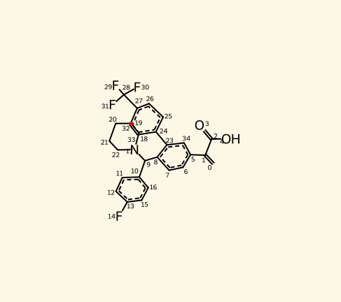 C=C(C(=O)O)c1ccc(C(c2ccc(F)cc2)N2CCCCC2)c(-c2ccc(C(F)(F)F)cc2)c1